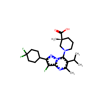 Cc1nc2c(F)c(C3CCC(F)(F)CC3)nn2c(N2CCC[C@@](C)(C(=O)O)C2)c1C(C)C